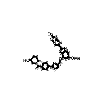 CCc1nn2cc(-c3nc4cc(OC)cc(OCc5csc(-c6ccc(C(=O)N7CCCC(O)C7)cc6)n5)c4s3)nc2s1